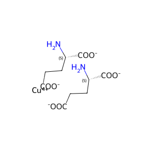 N[C@@H](CCC(=O)[O-])C(=O)[O-].N[C@@H](CCC(=O)[O-])C(=O)[O-].[Cu+4]